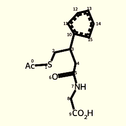 CC(=O)SCC(CC(=O)NCC(=O)O)c1ccccc1